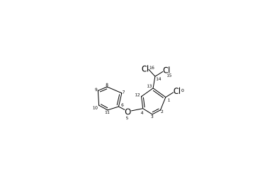 Clc1ccc(Oc2ccccc2)cc1C(Cl)Cl